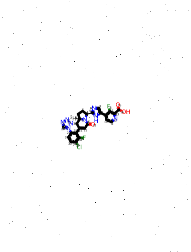 [2H][C@]12CC[C@@H](c3ncc(-c4ccnc(C(=O)O)c4F)[nH]3)N1C(=O)C=C(c1c(-n3cnnn3)ccc(Cl)c1F)C2